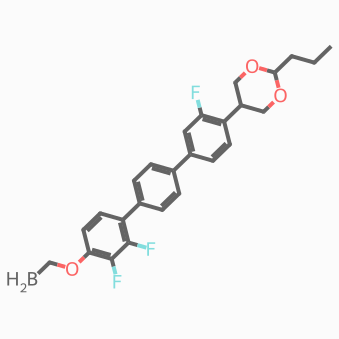 BCOc1ccc(-c2ccc(-c3ccc(C4COC(CCC)OC4)c(F)c3)cc2)c(F)c1F